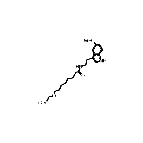 CCCCCCCCCCCOCCCCCCCC(=O)NCCc1c[nH]c2ccc(OC)cc12